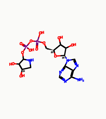 Nc1ncnc2c1ncn2[C@@H]1O[C@H](COP(=O)(O)OP(=O)(O)OC2NC[C@@H](O)C2O)C(O)C1O